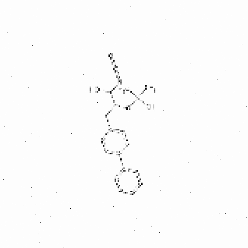 CC(C)(C)OC(Cc1ccc(-c2ccccc2)cc1)[C@H](O)N=C=O